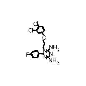 NC1=NC(c2ccc(F)cc2)N(CCCOc2ccc(Cl)c(Cl)c2)C(N)=N1